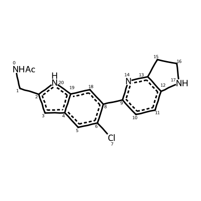 CC(=O)NCc1cc2cc(Cl)c(-c3ccc4c(n3)CCN4)cc2[nH]1